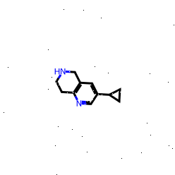 c1nc2c(cc1C1CC1)CNCC2